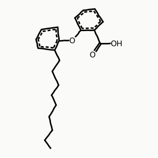 CCCCCCCCCc1ccccc1Oc1ccccc1C(=O)O